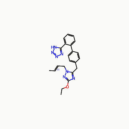 C/C=C/Cn1nc(OCC)nc1Cc1ccc(-c2ccccc2-c2nnn[nH]2)cc1